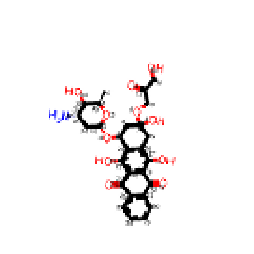 C[C@H]1O[C@@H](OC2CC(O)(OCC(=O)CO)Cc3c(O)c4c(c(O)c32)C(=O)c2ccccc2C4=O)C[C@H](N)[C@H]1O